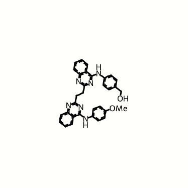 COc1ccc(Nc2nc(CCc3nc(Nc4ccc(CO)cc4)c4ccccc4n3)nc3ccccc23)cc1